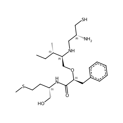 CC[C@H](C)[C@H](CO[C@@H](Cc1ccccc1)C(=O)N[C@H](CO)CCSC)NC[C@@H](N)CS